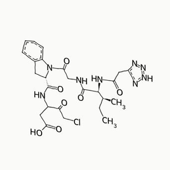 CC[C@H](C)[C@H](NC(=O)Cc1nn[nH]n1)C(=O)NCC(=O)N1c2ccccc2C[C@H]1C(=O)NC(CC(=O)O)C(=O)CCl